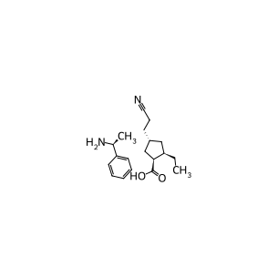 CC[C@@H]1C[C@@H](CCC#N)C[C@@H]1C(=O)O.C[C@H](N)c1ccccc1